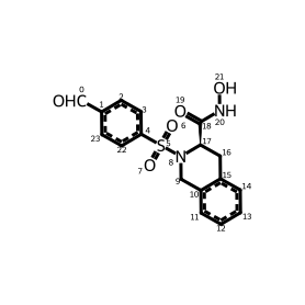 O=Cc1ccc(S(=O)(=O)N2Cc3ccccc3C[C@@H]2C(=O)NO)cc1